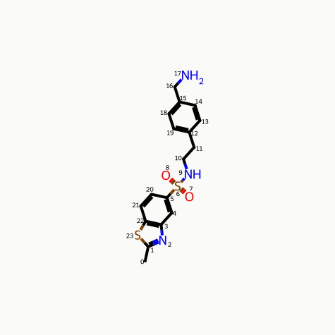 Cc1nc2cc(S(=O)(=O)NCCc3ccc(CN)cc3)ccc2s1